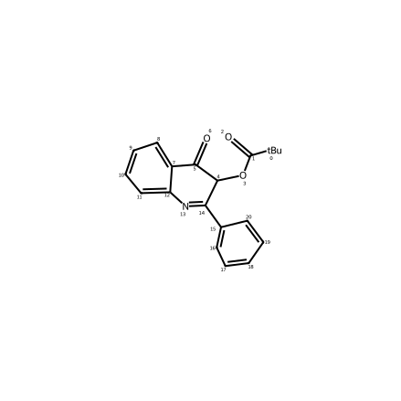 CC(C)(C)C(=O)OC1C(=O)c2ccccc2N=C1c1ccccc1